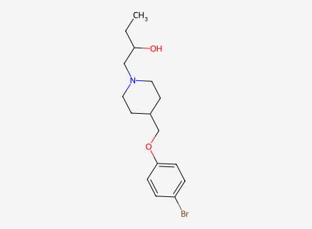 CCC(O)CN1CCC(COc2ccc(Br)cc2)CC1